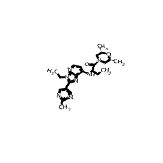 CCC(Nc1ccnc2c1nc(-c1cnc(C)nc1)n2CC)C(=O)N1C[C@@H](C)O[C@@H](C)C1